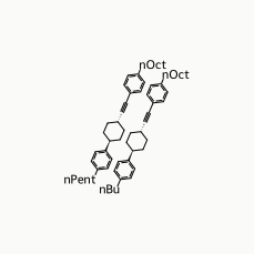 CCCCCCCCc1ccc(C#C[C@H]2CC[C@H](c3ccc(CCCC)cc3)CC2)cc1.CCCCCCCCc1ccc(C#C[C@H]2CC[C@H](c3ccc(CCCCC)cc3)CC2)cc1